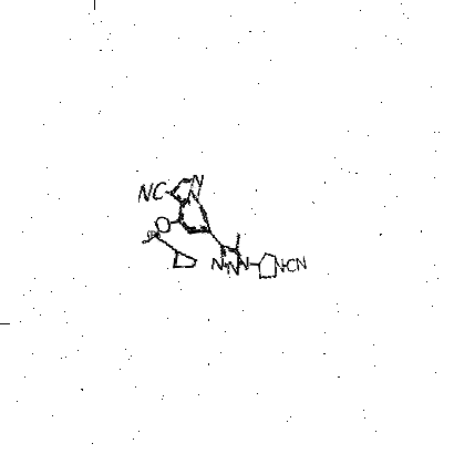 Cc1c(-c2cc(O[C@H](C)C3CCC3)c3c(C#N)cnn3c2)nnn1C1CCN(C#N)CC1